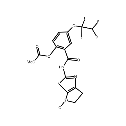 COC(=O)Oc1ccc(OC(F)(F)C(F)F)cc1C(=O)Nc1nc2c(s1)[S+]([O-])CC2